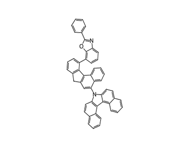 c1ccc(-c2nc3cccc(-c4cccc5c4-c4c(cc(-n6c7ccc8ccccc8c7c7c8ccccc8ccc76)c6ccccc46)C5)c3o2)cc1